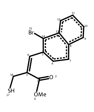 COC(=O)C(=Cc1ccc2ccccc2c1Br)CS